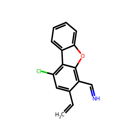 C=Cc1cc(Cl)c2c(oc3ccccc32)c1C=N